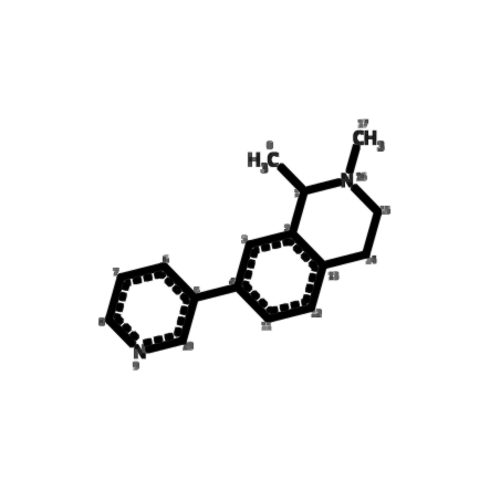 CC1c2cc(-c3cccnc3)ccc2CCN1C